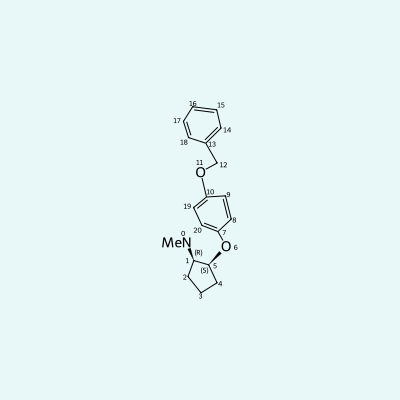 CN[C@@H]1CCC[C@@H]1Oc1ccc(OCc2ccccc2)cc1